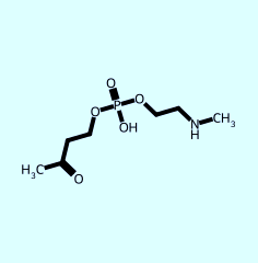 CNCCOP(=O)(O)OCCC(C)=O